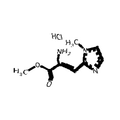 COC(=O)C(N)=Cc1nccn1C.Cl